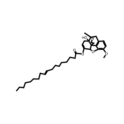 CCCCCCCCC=CCCCCCCCC(=O)OC1=CCC2(O)C3Cc4ccc(OC)c5c4C2(CCN3C)C1O5